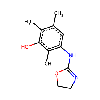 Cc1cc(NC2=NCCO2)c(C)c(O)c1C